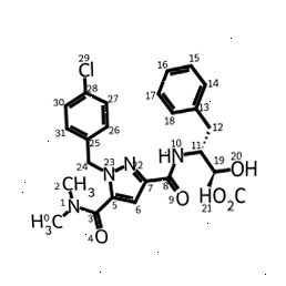 CN(C)C(=O)c1cc(C(=O)N[C@H](Cc2ccccc2)[C@@H](O)C(=O)O)nn1Cc1ccc(Cl)cc1